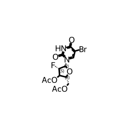 CC(=O)OC[C@H]1O[C@@H](n2cc(Br)c(=O)[nH]c2=O)[C@@H](F)C1OC(C)=O